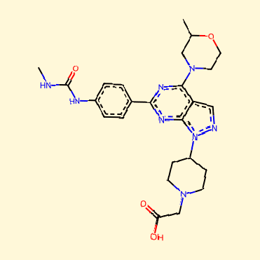 CNC(=O)Nc1ccc(-c2nc(N3CCOC(C)C3)c3cnn(C4CCN(CC(=O)O)CC4)c3n2)cc1